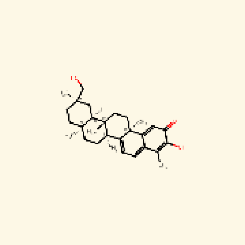 CC1=C(O)C(=O)C=C2C1=CC=C1[C@@]2(C)CC[C@@]2(C)[C@@H]3C[C@](C)(CO)CC[C@]3(C)CC[C@]12C